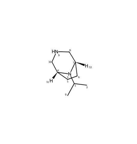 CC(C)N1[C@@H]2CC[C@H]1CNC2